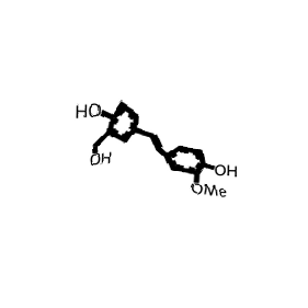 COc1cc(/C=C/c2ccc(O)c(CO)c2)ccc1O